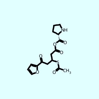 CC(=O)SC(CC(=O)OC(=O)[C@@H]1CCCN1)CC(=O)c1ccco1